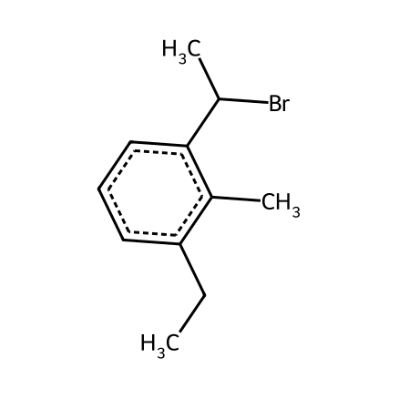 CCc1cccc(C(C)Br)c1C